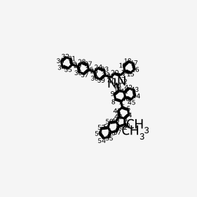 CC1(C)c2ccc(-c3ccc(-c4nc(-c5ccccc5)cc(-c5ccc(-c6ccc(-c7ccccc7)cc6)cc5)n4)c4ccccc34)cc2-c2cc3ccccc3cc21